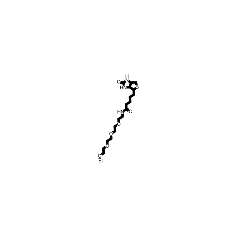 CCOCCOCCOCCOCCNC(=O)CCCCC1SCC2NC(=O)NC21